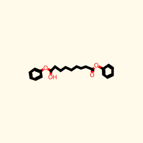 O=C(CCCCCCCC(O)Oc1ccccc1)Oc1ccccc1